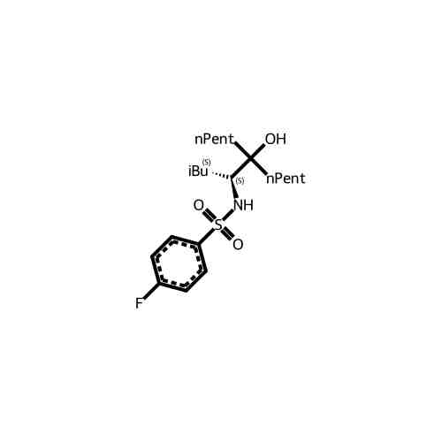 CCCCCC(O)(CCCCC)[C@@H](NS(=O)(=O)c1ccc(F)cc1)[C@@H](C)CC